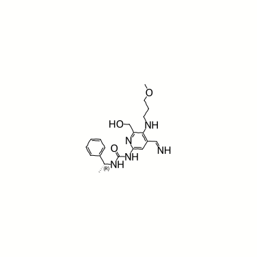 COCCCNc1c(C=N)cc(NC(=O)N[C@H](C)c2ccccc2)nc1CO